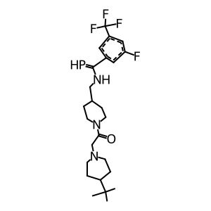 CC(C)(C)C1CCN(CC(=O)N2CCC(CNC(=P)c3cc(F)cc(C(F)(F)F)c3)CC2)CC1